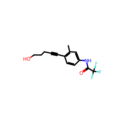 Cc1cc(NC(=O)C(F)(F)F)ccc1C#CCCCO